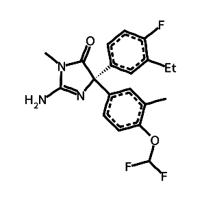 CCc1cc([C@]2(c3ccc(OC(F)F)c(C)c3)N=C(N)N(C)C2=O)ccc1F